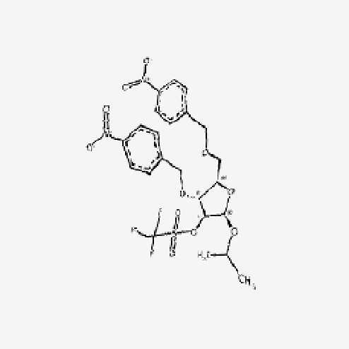 CC(C)O[C@@H]1O[C@H](COCc2ccc([N+](=O)[O-])cc2)[C@@H](OCc2ccc([N+](=O)[O-])cc2)[C@@H]1OS(=O)(=O)C(F)(F)F